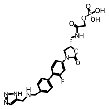 O=C(COP(=O)(O)O)NC[C@H]1CN(c2ccc(-c3ccc(CNCc4cnn[nH]4)cc3)c(F)c2)C(=O)O1